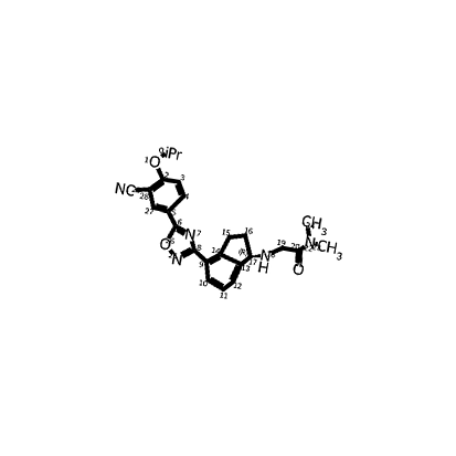 CC(C)Oc1ccc(-c2nc(-c3cccc4c3CC[C@H]4NCC(=O)N(C)C)no2)cc1C#N